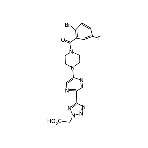 O=C(O)Cn1nnc(-c2cnc(N3CCN(C(=O)c4cc(F)ccc4Br)CC3)cn2)n1